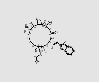 C/C(=C\c1nc2ccccc2s1)[C@@H]1C[C@@H]2N(CCO)[C@]2(C)CCC[C@H](C)[C@H](O)[C@@H](C)C(=O)C(C)(C)[C@@H](O)CC(=O)O1